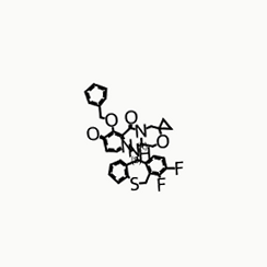 O=C1c2c(OCc3ccccc3)c(=O)ccn2N([C@@H]2c3ccccc3SCc3c2ccc(F)c3F)[C@@H]2COC3(CC3)CN12